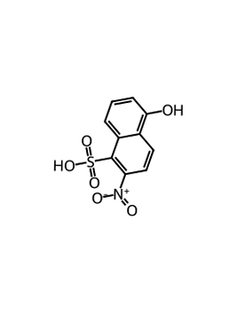 O=[N+]([O-])c1ccc2c(O)cccc2c1S(=O)(=O)O